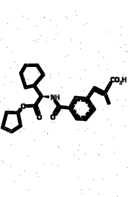 CC(=Cc1cccc(C(=O)N[C@H](C(=O)OC2CCCC2)C2CCCCC2)c1)C(=O)O